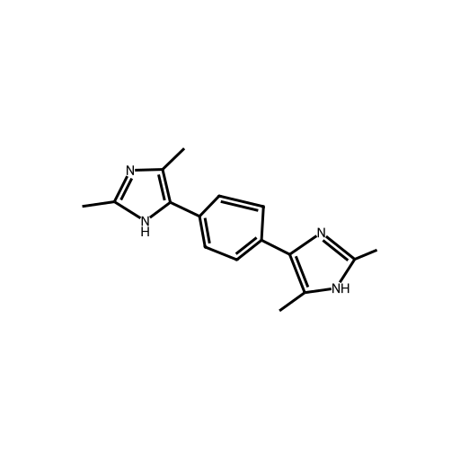 Cc1nc(-c2ccc(-c3[nH]c(C)nc3C)cc2)c(C)[nH]1